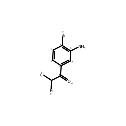 CCC(Cl)C(=O)c1ccc(Br)c(N)c1